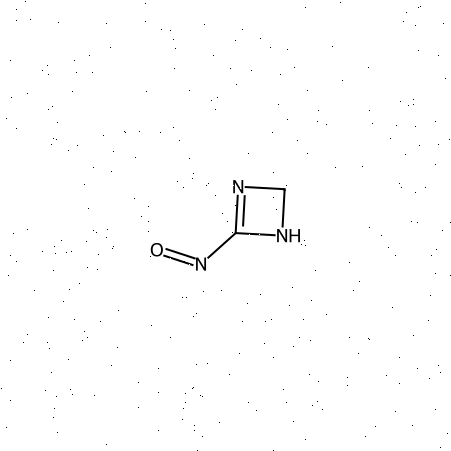 O=NC1=NCN1